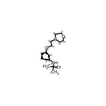 CCC(C)(C)Nc1cccc(OCCN2CCOCC2)c1